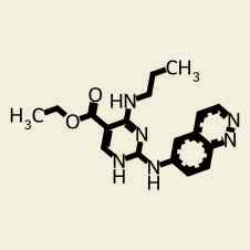 CCCNC1=NC(Nc2ccc3nnccc3c2)NC=C1C(=O)OCC